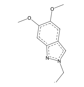 [CH2]Cn1cc2cc(OC)c(OC)cc2n1